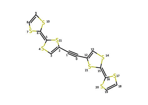 C(#CC1=CSC(=C2SC=CS2)S1)C1=CSC(=C2SC=CS2)S1